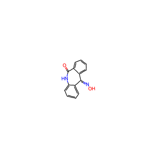 O=c1[nH]c2ccccc2c(=NO)c2ccccc12